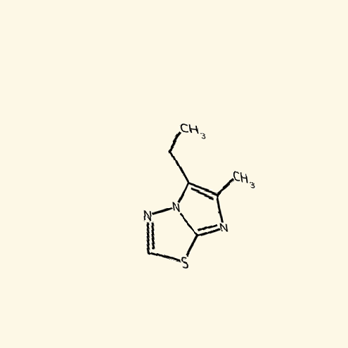 CCc1c(C)nc2scnn12